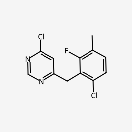 Cc1ccc(Cl)c(Cc2cc(Cl)ncn2)c1F